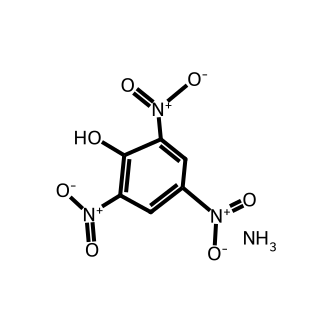 N.O=[N+]([O-])c1cc([N+](=O)[O-])c(O)c([N+](=O)[O-])c1